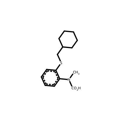 CN(C(=O)O)c1ccccc1SCC1CCCCC1